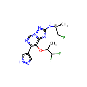 CC(Oc1c(-c2cn[nH]c2)ncn2nc(N[C@@H](C)CF)nc12)C(F)F